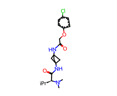 CC(C)[C@@H](C(=O)NC12CC(NC(=O)COc3ccc(Cl)cc3)(C1)C2)N(C)C